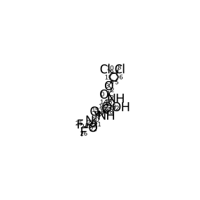 O=C(COc1ccc(Cl)c(Cl)c1)NC12CCC(NC(=O)c3coc(C(F)F)n3)(CC1)CC2O